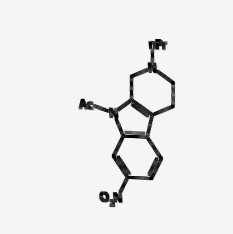 CCCN1CCc2c(n(C(C)=O)c3cc([N+](=O)[O-])ccc23)C1